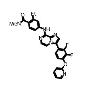 CCc1cc(Nc2nccn3c(-c4ccc(Oc5ccccn5)c(F)c4F)cnc23)ccc1C(=O)NC